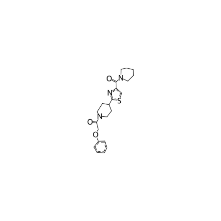 O=C(COc1ccccc1)N1CCC(c2nc(C(=O)N3CCCCC3)cs2)CC1